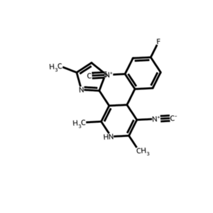 [C-]#[N+]C1=C(C)NC(C)=C(c2nc(C)cs2)C1c1ccc(F)cc1[N+]#[C-]